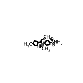 CNN(/C(=C\SC)c1ccc(C)cc1)c1ccc(S(N)(=O)=O)cc1